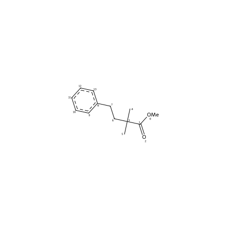 COC(=O)C(C)(C)CCc1ccccc1